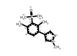 Cc1c(-c2cnn(C)c2)ccc(N)c1P(C)(C)=O